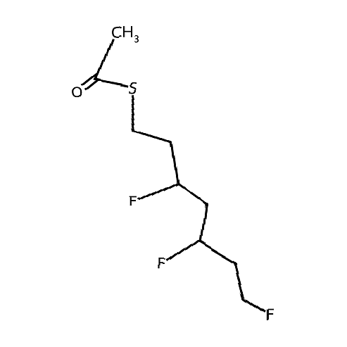 CC(=O)SCCC(F)CC(F)CCF